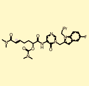 CC(C)Cn1c(Cn2cncc(NC(=O)C(CC/C=C/C(=O)N(C)C)OC(=O)N(C)C)c2=O)cc2cc(F)ccc21